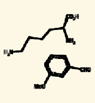 COc1cccc(C=O)c1.NCCCC[C@H](N)C(=O)O